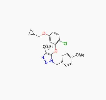 CCOC(=O)c1nnn(Cc2ccc(OC)cc2)c1Oc1cc(OCC2CC2)ccc1Cl